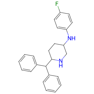 Fc1ccc(NC2CCC(C(c3ccccc3)c3ccccc3)NC2)cc1